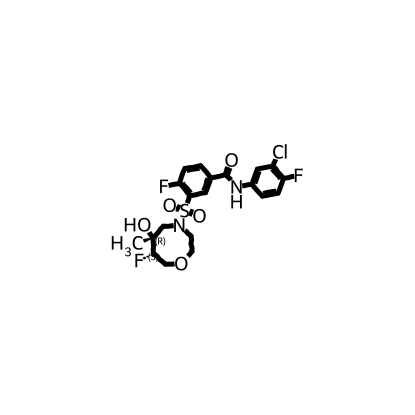 C[C@@]1(O)CN(S(=O)(=O)c2cc(C(=O)Nc3ccc(F)c(Cl)c3)ccc2F)CCOC[C@@H]1F